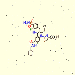 N=C(/C(Cc1ccc(S(N)(=O)=O)c(F)c1)=C(/CC1CC1)Nc1nc(C(=O)O)cs1)c1ccc(F)c(C(=O)NCc2ccccc2)c1